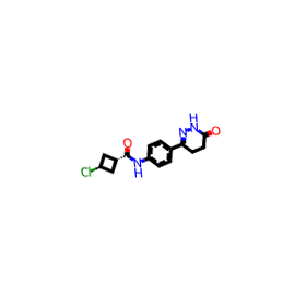 O=C1CCC(c2ccc(NC(=O)[C@H]3C[C@H](Cl)C3)cc2)=NN1